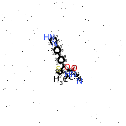 CC(C)C[C@H](O[C@@H](c1ccc(-c2ccc(N3CCNCC3)cc2)cc1)c1cccs1)C(=O)NCC#N